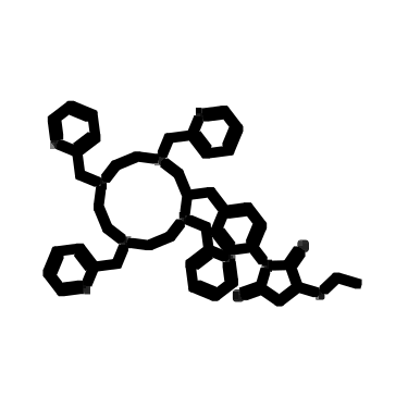 CCSC1CC(=O)N(c2ccc(CC3CN(Cc4ccccn4)CCN(Cc4ccccn4)CCN(Cc4ccccn4)CCN3Cc3ccccn3)cc2)C1=O